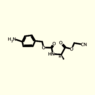 C[C@@H](NC(=O)OCc1ccc(N)cc1)C(=O)OCC#N